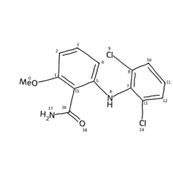 COc1cccc(Nc2c(Cl)cccc2Cl)c1C(N)=O